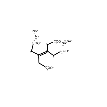 O=C([O-])CC(CC(=O)[O-])=C(CC(=O)[O-])CC(=O)[O-].[Na+].[Na+].[Na+].[Na+]